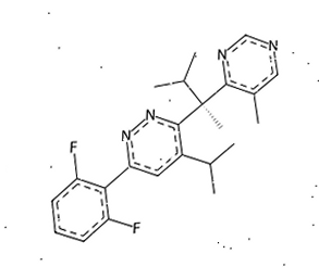 Cc1cncnc1[C@@](C)(c1nnc(-c2c(F)cccc2F)cc1C(C)C)C(C)C